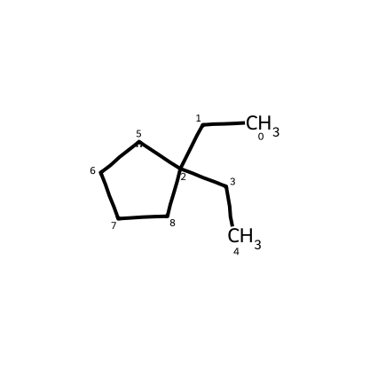 CCC1(CC)[C]CCC1